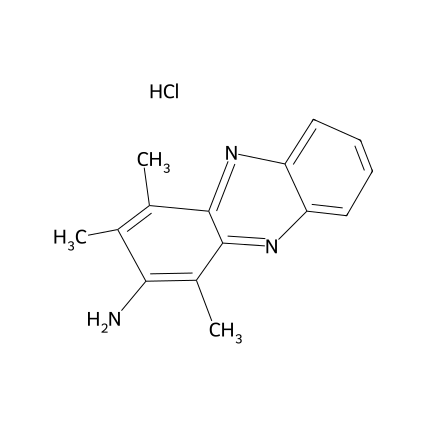 Cc1c(N)c(C)c2nc3ccccc3nc2c1C.Cl